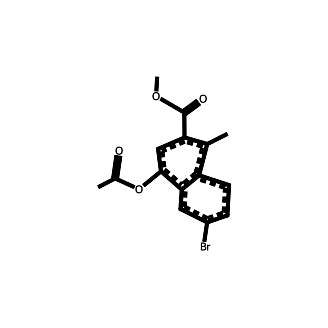 COC(=O)c1cc(OC(C)=O)c2cc(Br)ccc2c1C